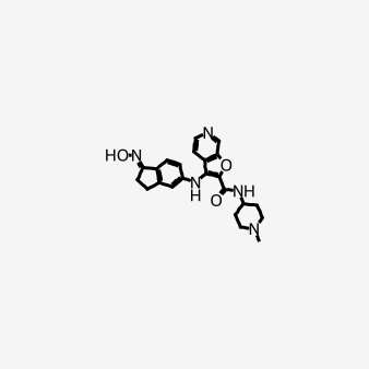 CN1CCC(NC(=O)c2oc3cnccc3c2Nc2ccc3c(c2)CC/C3=N\O)CC1